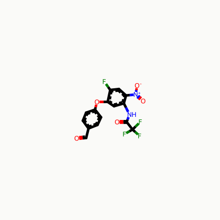 O=Cc1ccc(Oc2cc(NC(=O)C(F)(F)F)c([N+](=O)[O-])cc2F)cc1